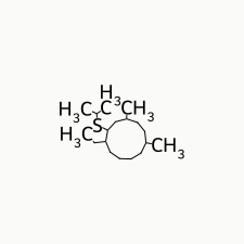 CCC1CCCCC(C)CCC(C)CC1SC(C)C